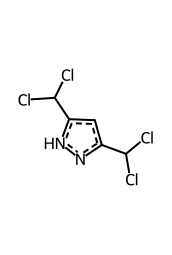 ClC(Cl)c1cc(C(Cl)Cl)[nH]n1